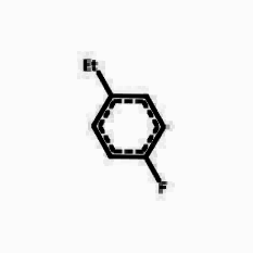 CCc1c[c]c(F)cc1